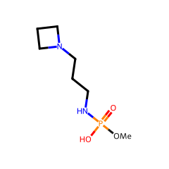 COP(=O)(O)NCCCN1CCC1